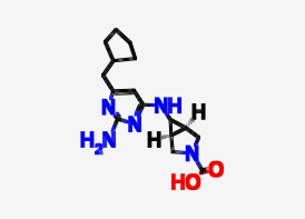 Nc1nc(CC2CCCC2)cc(NC2[C@H]3CN(C(=O)O)C[C@@H]23)n1